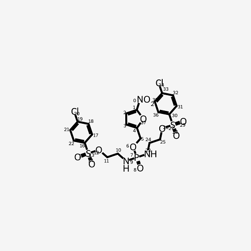 O=[N+]([O-])c1ccc(COP(=O)(NCCOS(=O)(=O)c2ccc(Cl)cc2)NCCOS(=O)(=O)c2ccc(Cl)cc2)o1